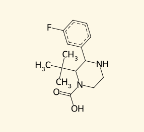 CC(C)(C)C1C(c2cccc(F)c2)NCCN1C(=O)O